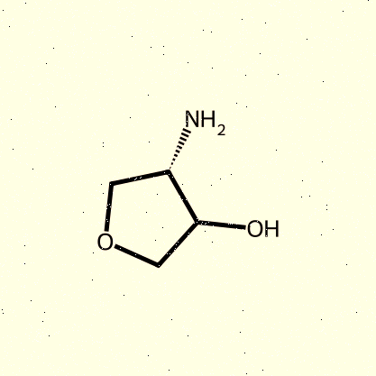 N[C@H]1COCC1O